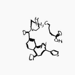 CCCC(=O)O.O=C(c1ccc2c(Cl)cc(-c3ccsc3)nc2c1)N1CCNCC1